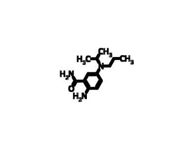 CCCN(c1ccc(N)c(C(N)=O)c1)C(C)C